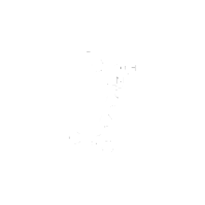 O=C(O)C(Cc1ccc(F)cc1)NS(=O)(=O)c1ccc(-c2ccc(-c3c(Cc4ccccc4)oc4ccccc34)cc2)cc1